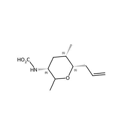 C=CC[C@@H]1OC(C)[C@H](NC(=O)O)C[C@@H]1C